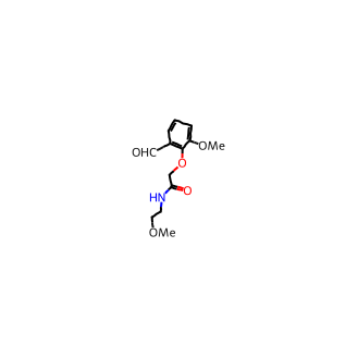 COCCNC(=O)COc1c(C=O)cccc1OC